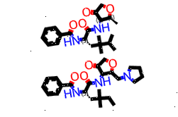 CC(C)C(C)(C)C[C@H](NC(=O)c1ccccc1)C(=O)N[C@@H]1C(=O)CO[C@H]1C.CCC(C)(C)C[C@H](NC(=O)c1ccccc1)C(=O)NC1C(=O)COC1CN1CCCC1